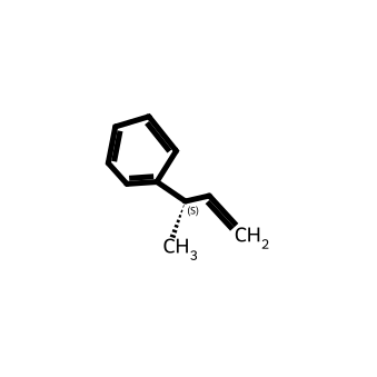 C=C[C@H](C)c1ccccc1